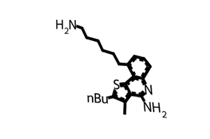 CCCCc1sc2c(c(N)nc3cccc(CCCCCCN)c32)c1C